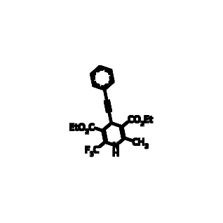 CCOC(=O)C1=C(C)NC(C(F)(F)F)=C(C(=O)OCC)C1C#Cc1ccccc1